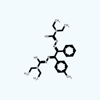 CCN(CC)/C(S)=N/N=C(/C(=N/N=C(\S)N(CC)CC)c1ccc(C)cc1)c1ccccc1